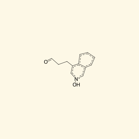 O=CCCc1c[n+](O)cc2ccccc12